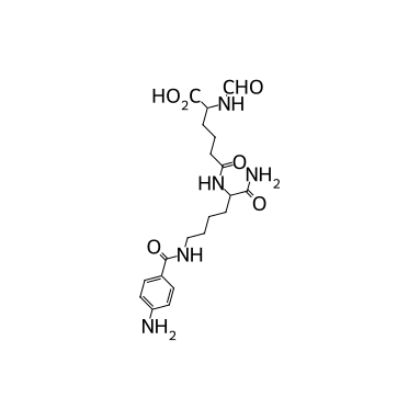 NC(=O)C(CCCCNC(=O)c1ccc(N)cc1)NC(=O)CCCC(NC=O)C(=O)O